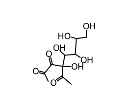 CC(=O)C(=O)C(O)(C(C)=O)C(O)C(O)C(O)CO